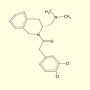 CN(C)C[C@H]1Cc2ccccc2CN1C(=O)Cc1ccc(Cl)c(Cl)c1